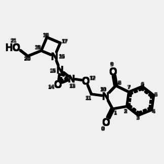 O=C1c2ccccc2C(=O)N1COn1on1N1CCC1CO